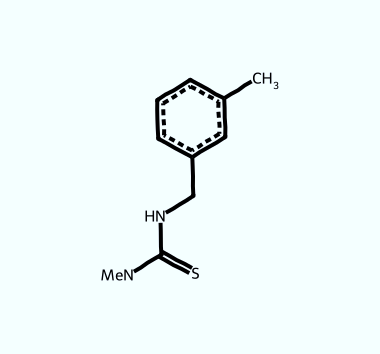 CNC(=S)NCc1cccc(C)c1